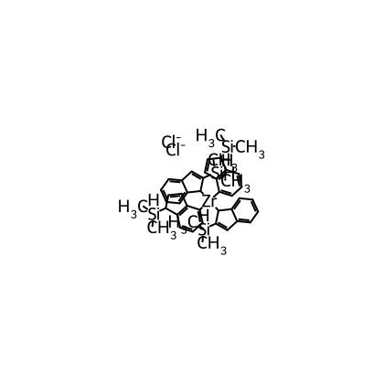 C[SiH](C)C1=Cc2ccccc2[CH]1[Zr]([c]1cccc2c1C=CC2[SiH](C)C)([c]1cccc2c1C=CC2[SiH](C)C)[CH]1C([SiH](C)C)=Cc2ccccc21.[Cl-].[Cl-]